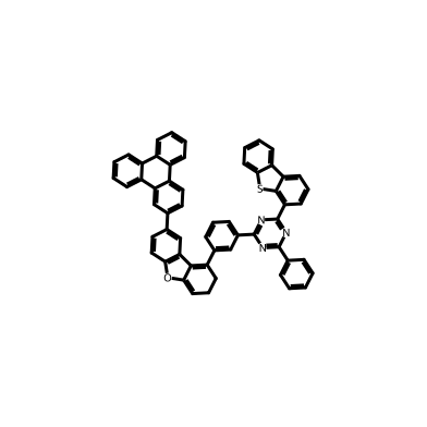 C1=c2oc3ccc(-c4ccc5c6ccccc6c6ccccc6c5c4)cc3c2=C(c2cccc(-c3nc(-c4ccccc4)nc(-c4cccc5c4sc4ccccc45)n3)c2)CC1